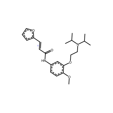 COc1ccc(NC(=O)/C=C/c2ccco2)cc1OCCN(C(C)C)C(C)C